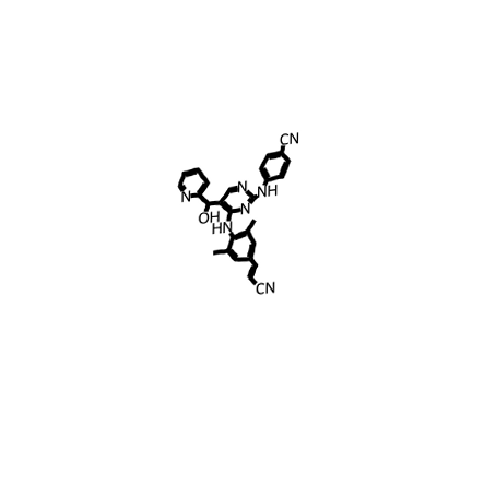 Cc1cc(/C=C/C#N)cc(C)c1Nc1nc(Nc2ccc(C#N)cc2)ncc1C(O)c1ccccn1